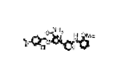 COc1ccccc1Nc1cc(-n2cc(OCc3ccc(N(C)C)cc3Cl)c(C(N)=O)n2)ccn1